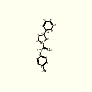 O=C(Oc1ccc(Br)cc1)N1CCC(c2ccccc2)C1